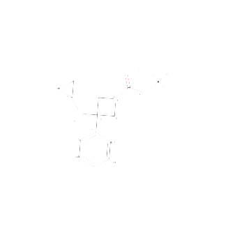 CC(C)(C)OC(=O)N1CC(OC2CC2)(c2ccccc2)C1